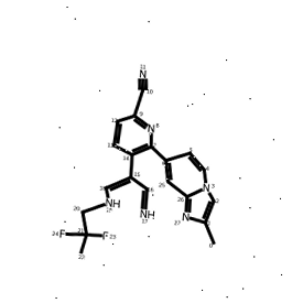 Cc1cn2ccc(-c3nc(C#N)ccc3/C(C=N)=C/NCC(C)(F)F)cc2n1